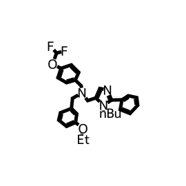 CCCCn1c(CN(Cc2ccc(OC(F)F)cc2)Cc2cccc(OCC)c2)cnc1-c1ccccc1